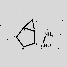 C1CC2CC2C1.NC=O